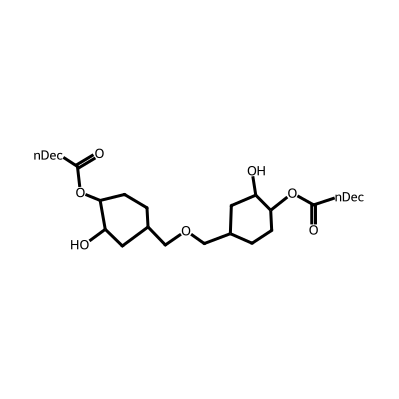 CCCCCCCCCCC(=O)OC1CCC(COCC2CCC(OC(=O)CCCCCCCCCC)C(O)C2)CC1O